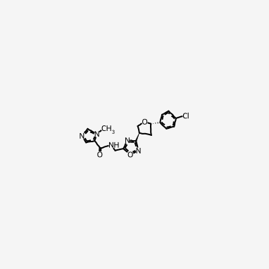 Cn1cncc1C(=O)NCc1nc([C@H]2CO[C@H](c3ccc(Cl)cc3)C2)no1